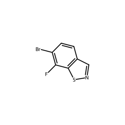 Fc1c(Br)ccc2cnsc12